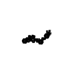 O=C(NCc1cccc(OCc2ccc(C(F)(F)F)cc2)c1)[C@@H]1CCN1S(=O)(=O)c1cc2ccccc2o1